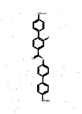 CCCCCCCc1ccc(-c2ccc(C(=O)Oc3ccc(-c4ccc(CCCCC)cc4)cc3)cc2F)cc1